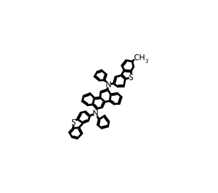 CC1C=Cc2c(sc3ccc(N(c4ccccc4)c4cc5c6ccccc6c(N(c6ccccc6)c6ccc7sc8ccccc8c7c6)cc5c5ccccc45)cc23)C1